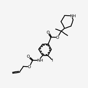 C=CCOC(=O)Nc1ccc(C(=O)OC(C)(C)C2CCNCC2)cc1I